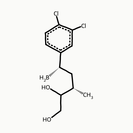 B[C@@H](C[C@H](C)C(O)CO)c1ccc(Cl)c(Cl)c1